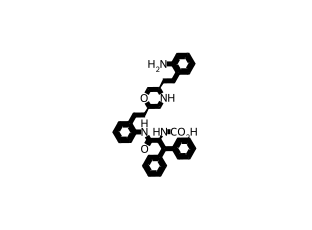 Nc1ccccc1CC[C@@H]1CO[C@H](CCc2ccccc2NC(=O)[C@@H](NC(=O)O)C(c2ccccc2)c2ccccc2)CN1